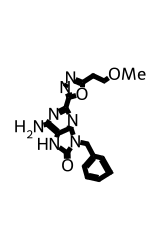 COCCc1nnc(-c2nc(N)c3[nH]c(=O)n(Cc4ccccc4)c3n2)o1